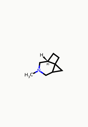 CN1CC2CC23CC[C@H]3C1